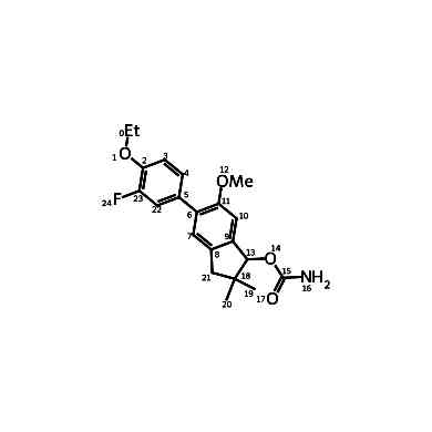 CCOc1ccc(-c2cc3c(cc2OC)C(OC(N)=O)C(C)(C)C3)cc1F